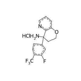 Cl.NC1(c2ccc(C(F)(F)F)c(F)c2)CCOc2cccnc21